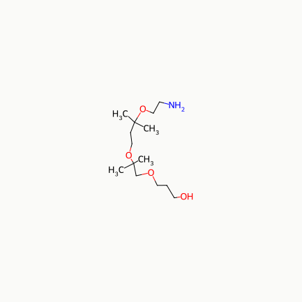 CC(C)(CCOC(C)(C)COCCCO)OCCN